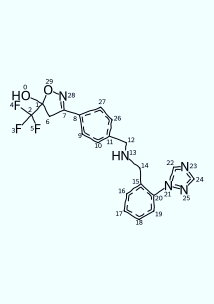 OC1(C(F)(F)F)CC(c2ccc(CNCc3ccccc3-n3cncn3)cc2)=NO1